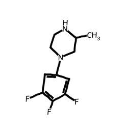 CC1CN(c2cc(F)c(F)c(F)c2)CCN1